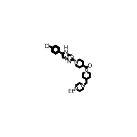 CCN1CCN(CC2CCN(C(=O)C3CCN(C4=NN5C=C(c6ccc(Cl)cc6)NC5S4)CC3)CC2)CC1